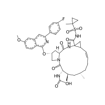 COc1ccc2c(O[C@@H]3C[C@H]4C(=O)NC5(C(=O)NS(=O)(=O)C6(C)CC6)CC5/C=C\CC[C@H](C)C[C@@H](C)[C@H](NC(=O)O)C(=O)N4C3)nc(-c3ccc(F)cc3)cc2c1